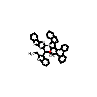 C=Cc1oc2ccccc2c1/C(=C\C)c1nc2sc3ccccc3c2nc1-n1c2ccc3c4ccccc4c4ccccc4c3c2c2ccc3ccccc3c21